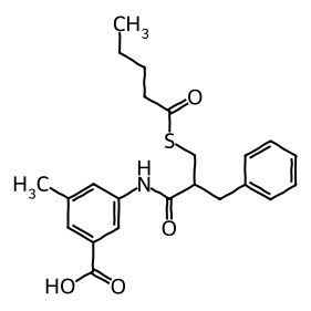 CCCCC(=O)SCC(Cc1ccccc1)C(=O)Nc1cc(C)cc(C(=O)O)c1